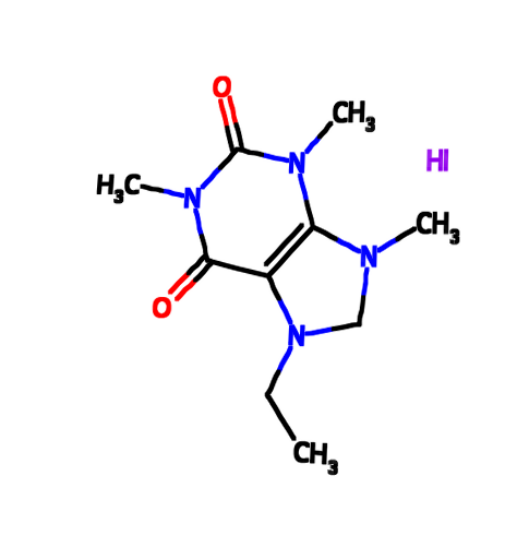 CCN1CN(C)c2c1c(=O)n(C)c(=O)n2C.I